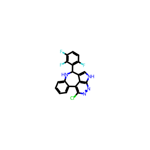 Fc1ccc(F)c(C2Nc3ccccc3-c3c(Cl)nnc4[nH]cc2c34)c1F